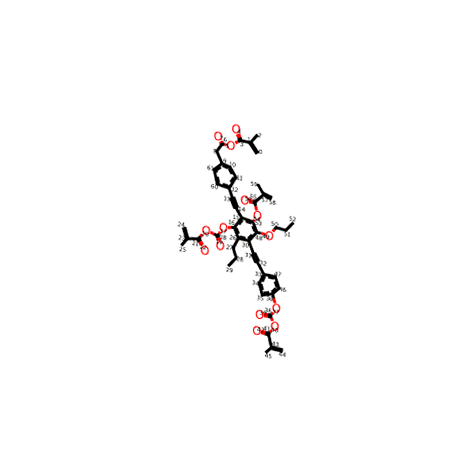 C=C(C)C(=O)OC(=O)Cc1ccc(C#Cc2c(OC(=O)OC(=O)C(=C)C)c(CCC)c(C#Cc3ccc(OC(=O)OC(=O)C(=C)C)cc3)c(OCCC)c2OC(=O)C(=C)C)cc1